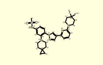 CS(=O)(=O)Nc1ccc(-n2cc(-c3cccc(N4CCC(F)(F)CC4)n3)cn2)c(N2CCC3(CC2)CC3)c1